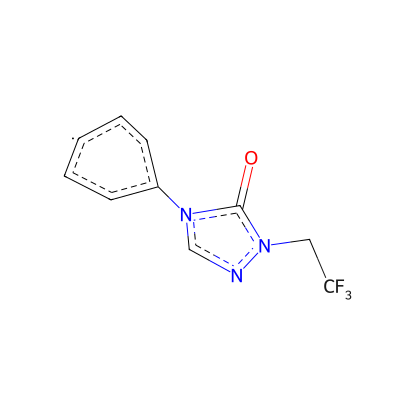 O=c1n(-c2cc[c]cc2)cnn1CC(F)(F)F